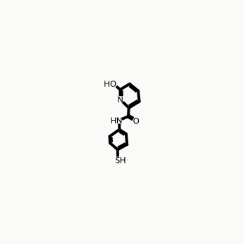 O=C(Nc1ccc(S)cc1)c1cccc(O)n1